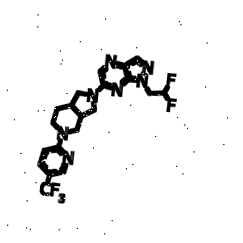 FC(F)Cn1ncc2ncc(N3CC4CCN(c5ccc(C(F)(F)F)cn5)CC4C3)nc21